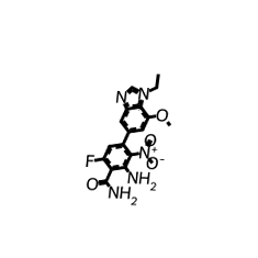 CCn1cnc2cc(-c3cc(F)c(C(N)=O)c(N)c3[N+](=O)[O-])cc(OC)c21